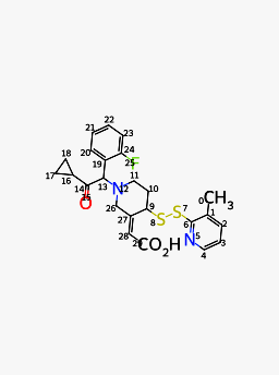 Cc1cccnc1SSC1CCN(C(C(=O)C2CC2)c2ccccc2F)C/C1=C/C(=O)O